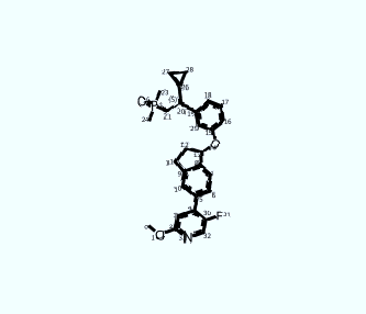 COc1cc(-c2ccc3c(c2)CCC3Oc2cccc([C@@H](CP(C)(C)=O)C3CC3)c2)c(F)cn1